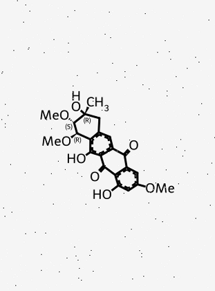 COc1cc(O)c2c(c1)C(=O)c1cc3c(c(O)c1C2=O)[C@@H](OC)[C@H](OC)[C@](C)(O)C3